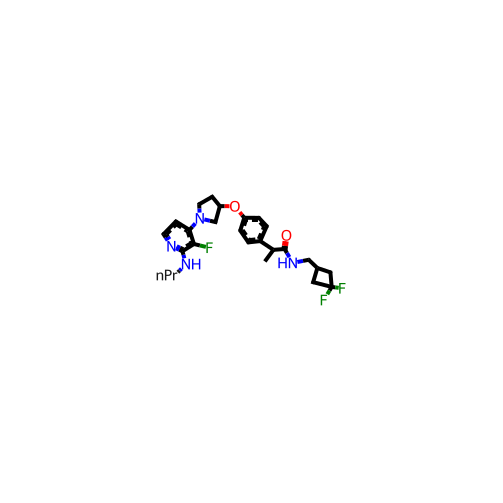 CCCNc1nccc(N2CCC(Oc3ccc(C(C)C(=O)NCC4CC(F)(F)C4)cc3)C2)c1F